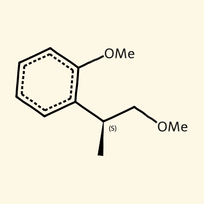 COC[C@@H](C)c1ccccc1OC